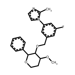 COC1CCOC(c2ccccc2)C1OCc1cc(F)cc(-n2ccnc2C)c1